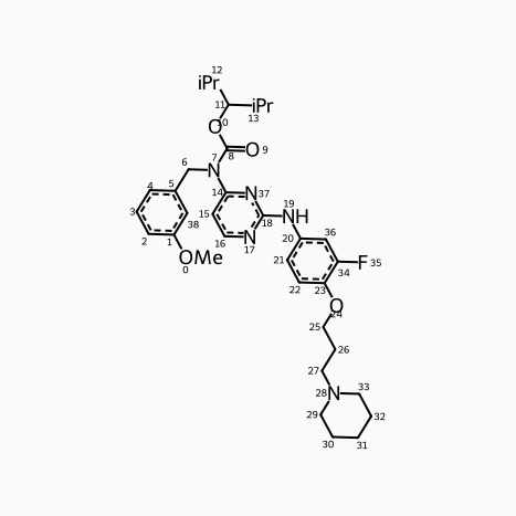 COc1cccc(CN(C(=O)OC(C(C)C)C(C)C)c2ccnc(Nc3ccc(OCCCN4CCCCC4)c(F)c3)n2)c1